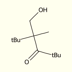 CC(C)(C)C(=O)C(C)(CO)C(C)(C)C